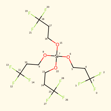 FC(F)(F)CCO[Si](OCCC(F)(F)F)(OCCC(F)(F)F)OCCC(F)(F)F